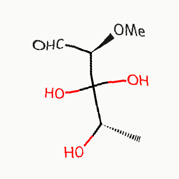 CO[C@H](C=O)C(O)(O)[C@H](C)O